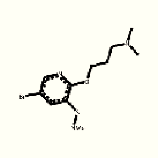 CNSc1cc(Br)cnc1OCCCN(C)C